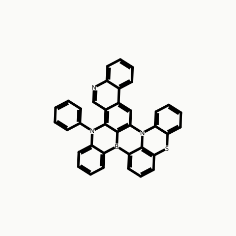 c1ccc(N2c3ccccc3B3c4cccc5c4N(c4ccccc4S5)c4cc5c(cnc6ccccc65)c2c43)cc1